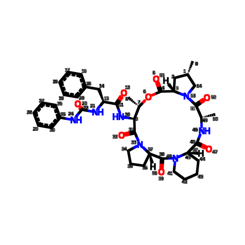 C[C@H]1C[C@H]2C(=O)O[C@@H](C)[C@H](NC(=O)[C@H](Cc3ccccc3)NC(=O)Nc3ccccc3)C(=O)N3CCC[C@H]3C(=O)N3CCCC[C@H]3C(=O)N[C@@H](C)C(=O)N2C1